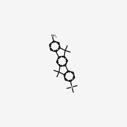 CC1(C)c2cc(N)ccc2-c2cc3c(cc21)-c1ccc([Si](C)(C)C)cc1C3(C)C